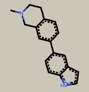 CN1CCc2ccc(-c3ccc4[nH]ccc4c3)cc2C1